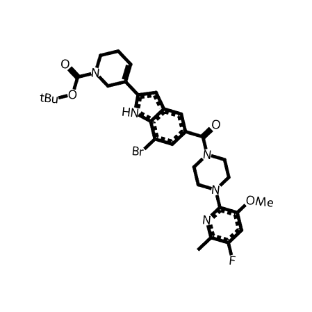 COc1cc(F)c(C)nc1N1CCN(C(=O)c2cc(Br)c3[nH]c(C4=CCCN(C(=O)OC(C)(C)C)C4)cc3c2)CC1